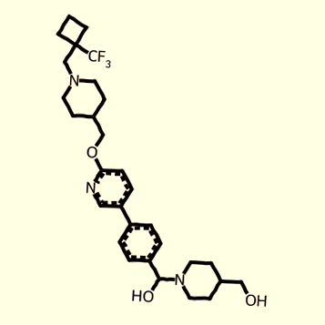 OCC1CCN(C(O)c2ccc(-c3ccc(OCC4CCN(CC5(C(F)(F)F)CCC5)CC4)nc3)cc2)CC1